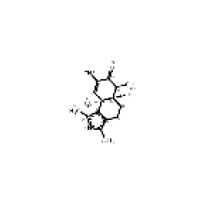 [C-]#[N+]C1=C[C@]2(C)c3c(c(C)nn3C)CC[C@H]2[C@H](C)C1=O